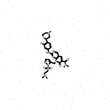 CN(C)CCS(=O)(=O)n1nccc1Cn1c(=O)c(C(=O)N(C)C)cc2cnc(Nc3ccc(C4CN(C)CCS4)c(F)c3)nc21